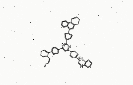 C=C/C=C\C1=CCCC=C1c1ccc(-c2cc(C3C=CC(C/C=N\c4ccccc4CC)=CC3)nc(-c3ccc(-c4cc5c(c6ccccc46)C=CCC5)cc3)n2)cc1